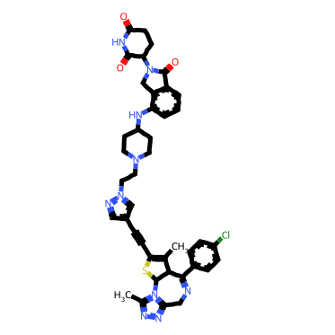 CC1=C(C#Cc2cnn(CCN3CCC(Nc4cccc5c4CN(C4CCC(=O)NC4=O)C5=O)CC3)c2)SC2C1C(c1ccc(Cl)cc1)=NCc1nnc(C)n12